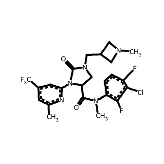 Cc1cc(C(F)(F)F)cc(N2C(=O)N(CC3CN(C)C3)CC2C(=O)N(C)c2ccc(F)c(Cl)c2F)n1